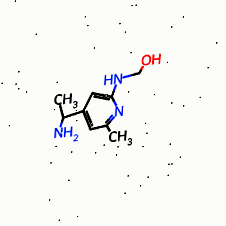 Cc1cc(C(C)N)cc(NCO)n1